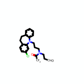 O=CCCN(CCCN1c2ccccc2CCc2ccc(Cl)cc21)C(=O)C(F)(F)F